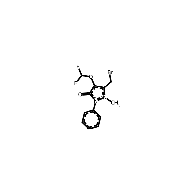 Cn1c(CBr)c(OC(F)F)c(=O)n1-c1ccccc1